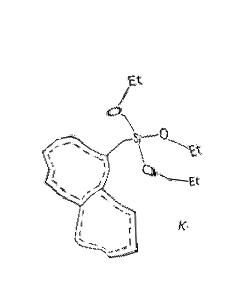 CCO[Si](OCC)(OCC)c1cccc2ccccc12.[K]